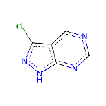 Clc1n[nH]c2ncncc12